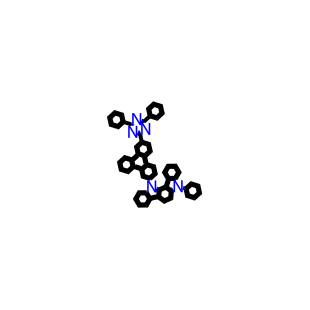 c1ccc(-c2nc(-c3ccccc3)nc(-c3ccc4c5ccc(-n6c7ccccc7c7ccc8c(c9ccccc9n8-c8ccccc8)c76)cc5c5ccccc5c4c3)n2)cc1